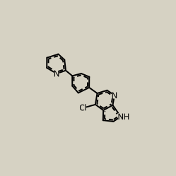 Clc1c(-c2ccc(-c3ccccn3)cc2)cnc2[nH]ccc12